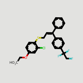 O=C(O)COc1ccc(SC/C=C(/c2ccccc2)c2ccc(C(F)(F)CF)cc2)c(Cl)c1